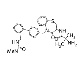 CNC(=O)NCc1ccccc1-c1ccc(CN2C(=O)[C@H](NC(=O)C(C)(C)N)CSc3ccccc32)cc1